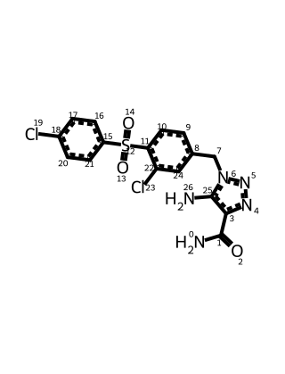 NC(=O)c1nnn(Cc2ccc(S(=O)(=O)c3ccc(Cl)cc3)c(Cl)c2)c1N